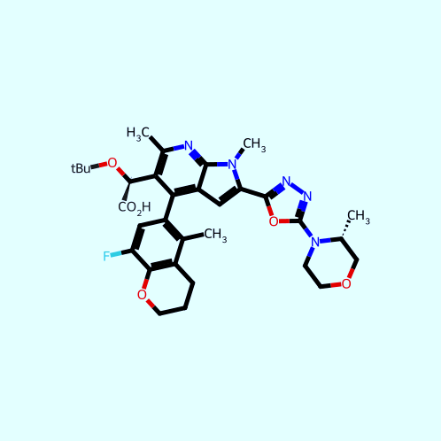 Cc1nc2c(cc(-c3nnc(N4CCOC[C@H]4C)o3)n2C)c(-c2cc(F)c3c(c2C)CCCO3)c1[C@H](OC(C)(C)C)C(=O)O